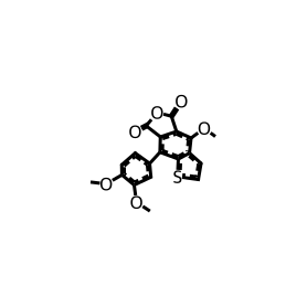 COc1ccc(-c2c3c(c(OC)c4ccsc24)C(=O)OC3=O)cc1OC